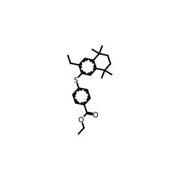 CCOC(=O)c1ccc(Sc2cc3c(cc2CC)C(C)(C)CCC3(C)C)cc1